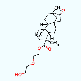 CC12CCC[C@@](C)(C(=O)OCCOCCO)[C@H]1CCC13CC(=O)[C@@](C)(CC[C@H]12)C3